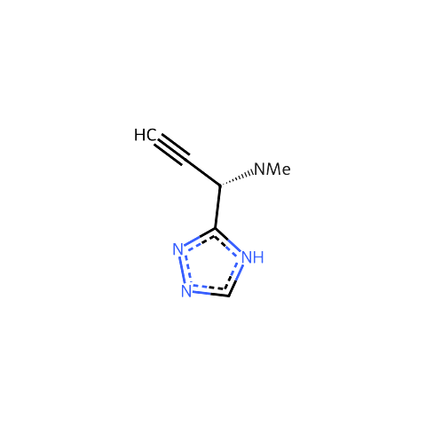 C#C[C@H](NC)c1nnc[nH]1